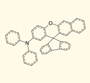 c1ccc(N(c2ccccc2)c2ccc3c(c2)C2(c4cc5ccccc5cc4O3)c3ccccc3-c3ccccc32)cc1